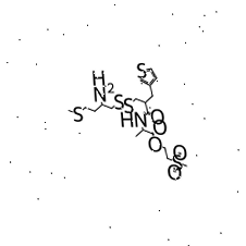 CSCCC(N)CSSCC(Cc1ccsc1)C(=O)NC(C)C(=O)OCCS(C)(=O)=O